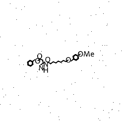 COc1ccc(COCCCCCCCC(=O)NC(CC(=O)OCc2ccccc2)CN(C)C)cc1